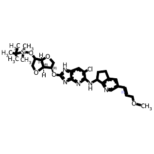 COC/C=C/c1cnc2c(c1)CCC2Nc1nc2nc(O[C@@H]3CO[C@@H]4C(O[Si](C)(C)C(C)(C)C)CO[C@@H]43)[nH]c2cc1Cl